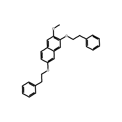 COc1cc2ccc(OCCc3ccccc3)cc2cc1OCCc1ccccc1